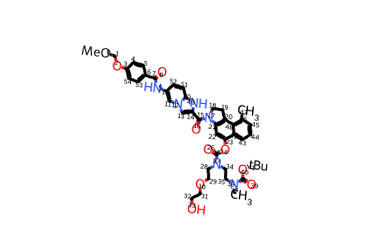 COCOc1ccc(C(=O)NC2=CN3C=C(C(=O)N4CCc5c4cc(OC(=O)N(CCOCCO)CCN(C)C(=O)OC(C)(C)C)c4cccc(C)c54)NC3C=C2)cc1